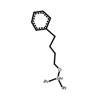 CC(C)[SiH](OCCCCc1ccccc1)C(C)C